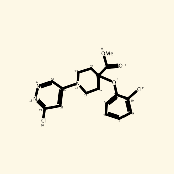 COC(=O)C1(Oc2ccccc2Cl)CCN(c2cnnc(Cl)c2)CC1